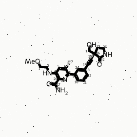 COCCNc1cc(F)c(-c2cccc(C#C[C@@]3(CO)CCNC3=O)c2)nc1C(N)=O